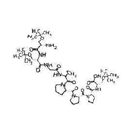 C[C@H](NC(=O)CNC(=O)[C@H](COC(C)(C)C)NC(=O)[C@@H](N)COC(C)(C)C)C(=O)N1CCC[C@H]1C(=O)N1CCC[C@H]1C(=O)N1CCC[C@H]1C(=O)N[C@@H](COC(C)(C)C)C(=O)O